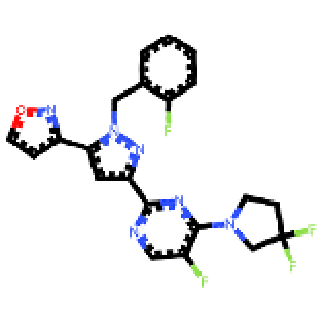 Fc1ccccc1Cn1nc(-c2ncc(F)c(N3CCC(F)(F)C3)n2)cc1-c1ccon1